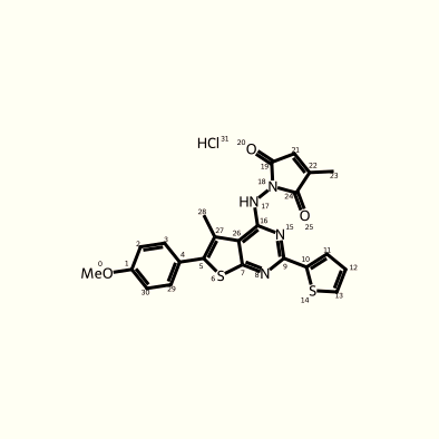 COc1ccc(-c2sc3nc(-c4cccs4)nc(NN4C(=O)C=C(C)C4=O)c3c2C)cc1.Cl